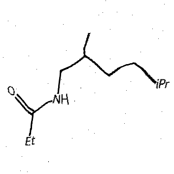 CCC(=O)NCC(C)CCC(C)C